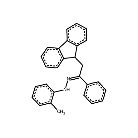 Cc1ccccc1NN=C(CC1c2ccccc2-c2ccccc21)c1ccccc1